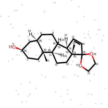 C[C@@]12CC[C@@H](O)C[C@H]1CC[C@H]1[C@H]2CC[C@]2(C)[C@@H]1C=CC21OCCO1